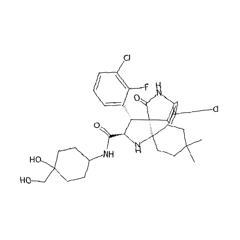 CC1(C)CCC2(CC1)N[C@@H](C(=O)NC1CCC(O)(CO)CC1)[C@H](c1cccc(Cl)c1F)[C@]21C(=O)Nc2cc(Cl)ccc21